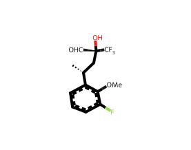 COc1c(F)cccc1[C@H](C)C[C@@](O)(C=O)C(F)(F)F